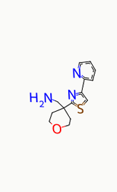 NCC1(c2nc(-c3ccccn3)cs2)CCOCC1